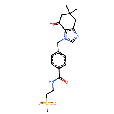 CC1(C)CC(=O)c2c(ncn2Cc2ccc(C(=O)NCCS(C)(=O)=O)cc2)C1